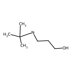 CC(C)(C)[N]CCCO